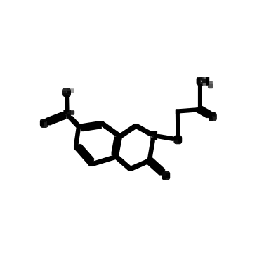 CC(=O)CON1Cc2cc([N+](=O)[O-])ccc2CC1=O